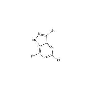 CCc1n[nH]c2c(F)cc(Cl)cc12